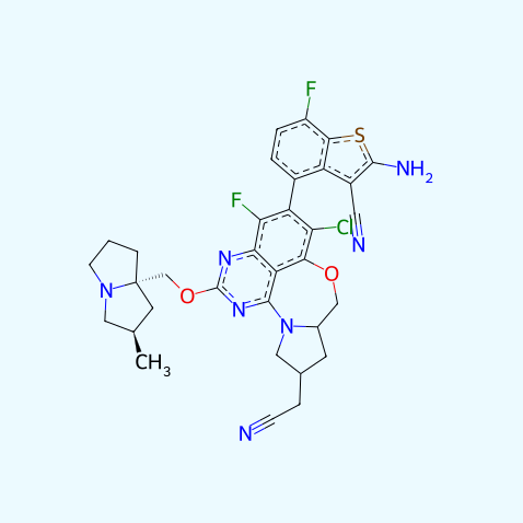 C[C@H]1CN2CCC[C@@]2(COc2nc3c4c(c(Cl)c(-c5ccc(F)c6sc(N)c(C#N)c56)c(F)c4n2)OCC2CC(CC#N)CN32)C1